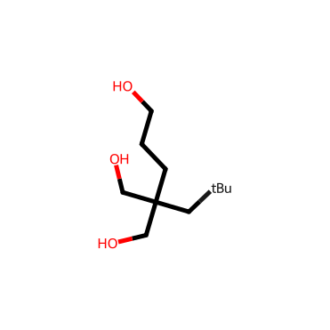 CC(C)(C)CC(CO)(CO)CCCO